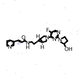 O=C(/C=C/c1cccnc1)NCCC1[C@H]2CN(c3nc(N4CCC(O)C4)ncc3F)C[C@@H]12